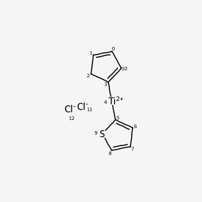 C1=CC[C]([Ti+2][c]2cccs2)=C1.[Cl-].[Cl-]